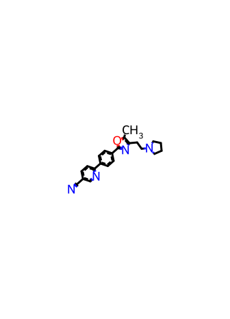 Cc1oc(-c2ccc(-c3ccc(C#N)cn3)cc2)nc1CCN1CCCC1